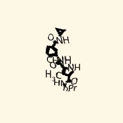 CCCNC(=O)c1c[nH]c(C(=O)Nc2cc(C(=O)NC3CC3)ccc2C)c1C